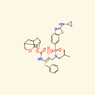 CC(C)CN(C[C@@H](O)[C@H](Cc1ccccc1)NC(=O)OC1C2COC3OC1CC3C2)S(=O)(=O)c1ccc2nc(NC3CC3)sc2c1